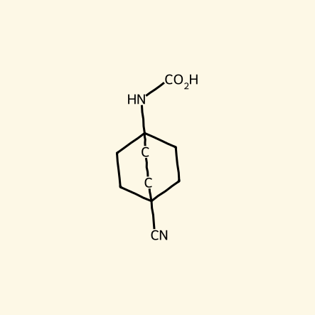 N#CC12CCC(NC(=O)O)(CC1)CC2